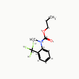 [CH2]CCOC(=O)N(C)c1ccccc1C(F)(F)F